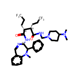 CN(C)C1CCN(CNC(=O)[C@@H](CCC(F)(F)F)[C@@H](CCC(F)(F)F)C(=O)N[C@H]2N=Cc3ccccc3N(C)C2c2ccccc2)CC1